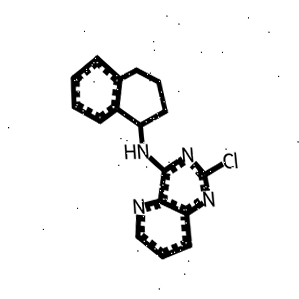 Clc1nc(NC2CCCc3ccccc32)c2ncccc2n1